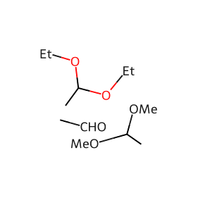 CC=O.CCOC(C)OCC.COC(C)OC